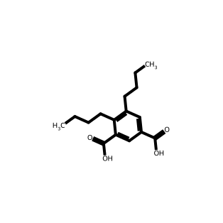 CCCCc1cc(C(=O)O)cc(C(=O)O)c1CCCC